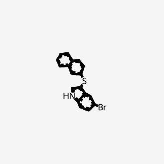 Brc1ccc2[nH]cc(Sc3ccc4ccccc4c3)c2c1